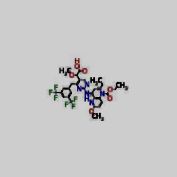 CCOC(=O)N1c2ccc(OC)nc2[C@@H](Nc2ncc(C(OC)C(=O)O)c(Cc3cc(C(F)(F)F)cc(C(F)(F)F)c3)n2)C[C@H]1CC